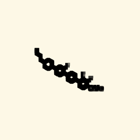 C=CCCC1CC=C(c2ccc(-c3ccc(-c4ccc(OC)c(F)c4F)cc3)c(F)c2)CC1